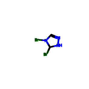 BrC1NN=CN1Br